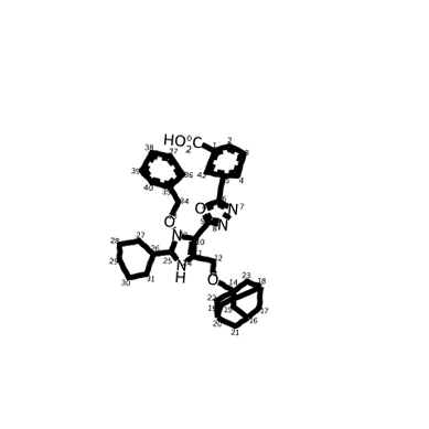 O=C(O)c1cccc(-c2nnc(C3=C(COC45CC6CC(CC(C6)C4)C5)NC(C4CCCCC4)N3OCc3ccccc3)o2)c1